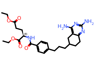 CCOC(=O)CC[C@@H](NC(=O)c1ccc(CCCC2CCc3nc(N)nc(N)c3C2)cc1)C(=O)OCC